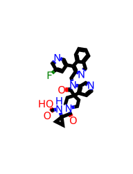 O=C(O)NC1(C(=O)N2CCC3(CC2)C(=O)N(Cc2ncc4ccccc4c2-c2cncc(F)c2)c2cnccc23)CC1